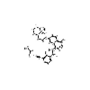 Cc1c(C#N)cccc1C(C)Nc1nnc(C)c2ccc(N3CCN4CCOC[C@@H]4C3)cc12.O=CO